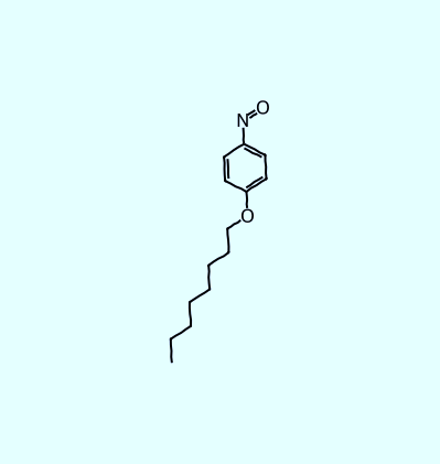 CCCCCCCCOc1ccc(N=O)cc1